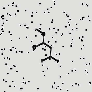 COC(Cl)CC(F)F